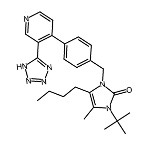 CCCCc1c(C)n(C(C)(C)C)c(=O)n1Cc1ccc(-c2ccncc2-c2nnn[nH]2)cc1